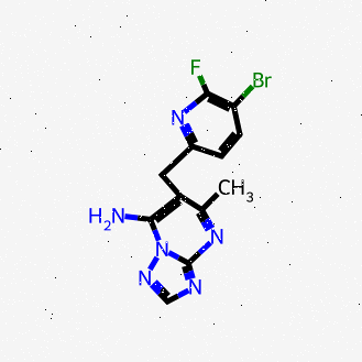 Cc1nc2ncnn2c(N)c1Cc1ccc(Br)c(F)n1